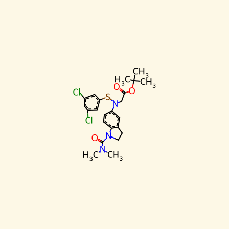 CN(C)C(=O)N1CCc2cc(N(CC(=O)OC(C)(C)C)Sc3cc(Cl)cc(Cl)c3)ccc21